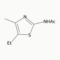 CCc1sc(NC(C)=O)nc1C